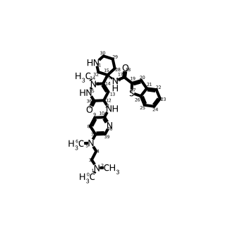 CN(C)CCN(C)c1ccc(NC2C=C([C@@]3(NC(=O)c4cc5ccccc5s4)CCCNC3)N(C)NC2=O)nc1